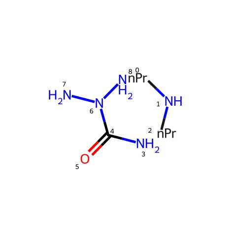 CCCNCCC.NC(=O)N(N)N